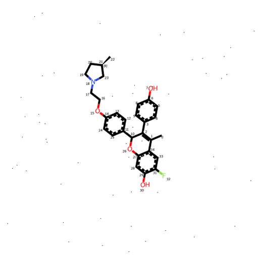 CC1=C(c2ccc(O)cc2)C(c2ccc(OCCN3CC[C@@H](C)C3)cc2)Oc2cc(O)c(F)cc21